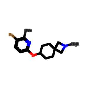 COc1nc(OC2CCC3(CC2)CN(C(=O)O)C3)ccc1Br